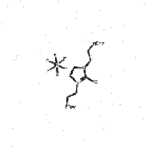 CCCCCCCCCCCCN1CC[N+](CCCCCCCCCCCC)=C1Cl.F[P-](F)(F)(F)(F)F